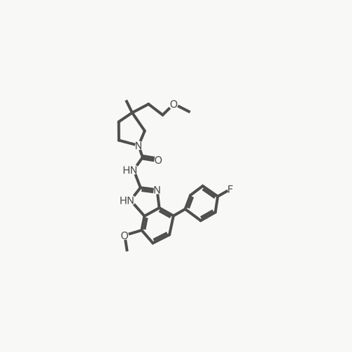 COCCC1(C)CCN(C(=O)Nc2nc3c(-c4ccc(F)cc4)ccc(OC)c3[nH]2)C1